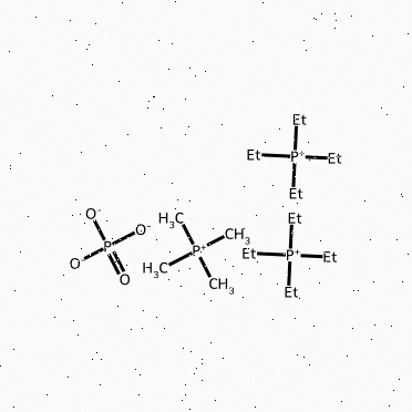 CC[P+](CC)(CC)CC.CC[P+](CC)(CC)CC.C[P+](C)(C)C.O=P([O-])([O-])[O-]